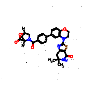 CC1(C)Cc2nc(N3CCOc4ccc(-c5ccc(C(=O)N6C[C@@H]7C[C@H]6C(=O)O7)cc5)cc43)sc2C(=O)N1